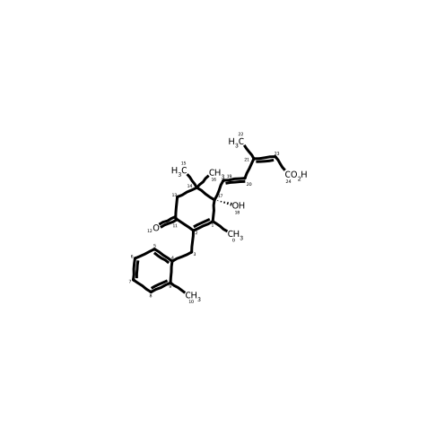 CC1=C(Cc2ccccc2C)C(=O)CC(C)(C)[C@@]1(O)/C=C/C(C)=C\C(=O)O